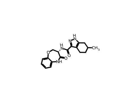 CC1CCc2c(C(=O)N[C@H]3COc4ccccc4NC3=O)n[nH]c2C1